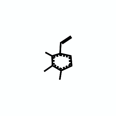 C=Cc1ccc(C)c(C)c1C